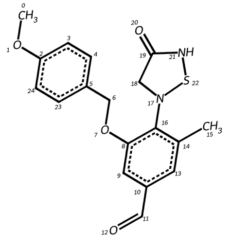 COc1ccc(COc2cc(C=O)cc(C)c2N2CC(=O)NS2)cc1